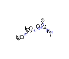 C=C/C=C\N=C\COC(/C=C/OC)=C/C(=C/C=C/C(O)CC(=O)/C=C/c1ccc2ccn(C)c2c1)OC